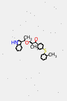 C=C(O/C=C(\C)C(=O)c1ccc(Sc2ccccc2C)cc1)c1c[nH]c2ccccc12